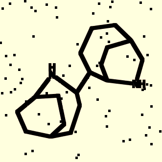 C1CC2CCC(NC2)C(C2CCC3CCC(CC3)N2)C1